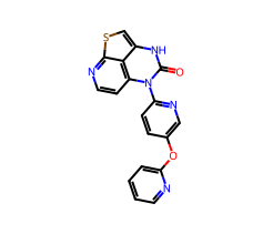 O=C1Nc2csc3nccc(c23)N1c1ccc(Oc2ccccn2)cn1